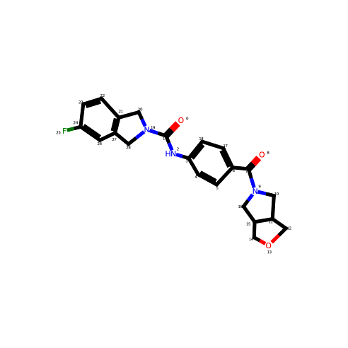 O=C(Nc1ccc(C(=O)N2CC3COCC3C2)cc1)N1Cc2ccc(F)cc2C1